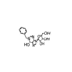 OC[C@@H]1O[C@H](n2cnc3c2N=CN(Cc2ccccc2)C3O)[C@@H](O)[C@H]1O